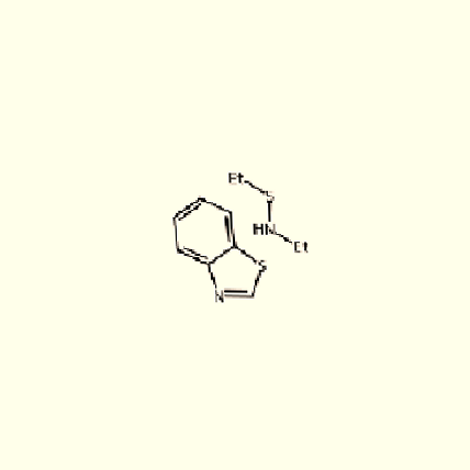 CCNSCC.c1ccc2scnc2c1